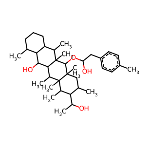 Cc1ccc(CC(O)OC2C3(C)C(C)C4CCCC(C)C4C(O)C3C(C)C3(C)C(C)C(C(C)O)C(C)CC23C)cc1